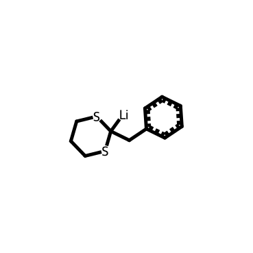 [Li][C]1(Cc2ccccc2)SCCCS1